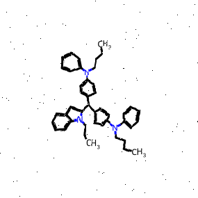 CCCCN(c1ccccc1)c1ccc(C(c2ccc(N(CCCC)c3ccccc3)cc2)c2cc3ccccc3n2CCC)cc1